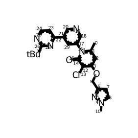 Cc1cc(OCc2ccn(C)n2)c(Cl)c(=O)n1-c1cncc(-c2ccnc(C(C)(C)C)n2)c1